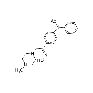 CC(=O)N(c1ccccc1)c1ccc(C(CN2CCN(C)CC2)=NO)cc1